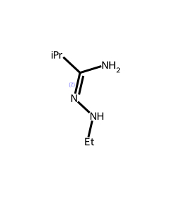 CCN/N=C(\N)C(C)C